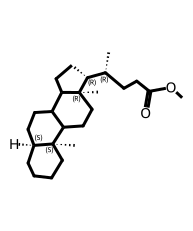 COC(=O)CC[C@@H](C)[C@H]1CCC2C3CC[C@@H]4CCCC[C@]4(C)C3CC[C@@]21C